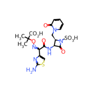 CC(C)(O/N=C(\C(=O)N[C@@H]1C(=O)N(S(=O)(=O)O)[C@@H]1Cn1ccccc1=O)c1csc(N)n1)C(=O)O